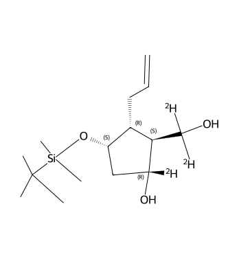 [2H]C([2H])(O)[C@@H]1[C@@H](CC=C)[C@@H](O[Si](C)(C)C(C)(C)C)C[C@@]1([2H])O